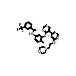 Cc1ccc(NC(=O)c2cccc(C(F)(F)F)c2)cc1Nc1ncncc1-c1cc(NCCN2CCOCC2)ncn1